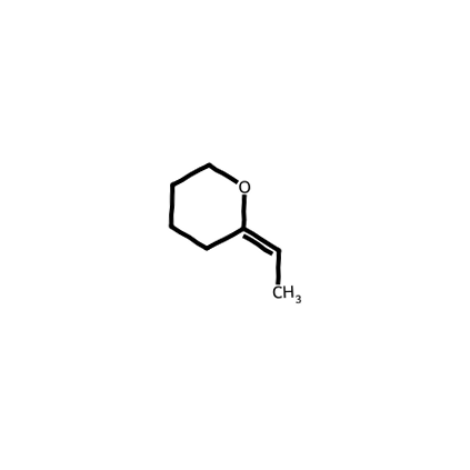 CC=C1CCCCO1